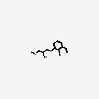 COCC(O)COc1cccc(C=O)c1Br